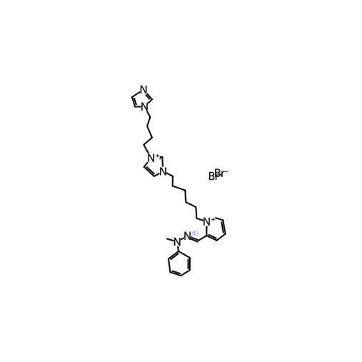 CN(/N=C/c1cccc[n+]1CCCCCCn1cc[n+](CCCCn2ccnc2)c1)c1ccccc1.[Br-].[Br-]